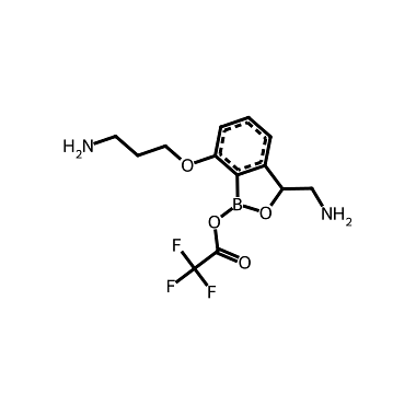 NCCCOc1cccc2c1B(OC(=O)C(F)(F)F)OC2CN